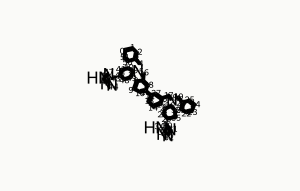 c1ccc(CN(Cc2cccc(-c3cccc(CN(Cc4ccccc4)[C@H]4CC[C@H](c5nnn[nH]5)CC4)c3)c2)[C@H]2CC[C@H](c3nn[nH]n3)CC2)cc1